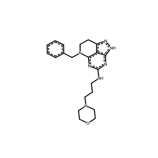 c1ccc(CN2CCc3n[nH]c4nc(NCCCN5CCOCC5)nc2c34)cc1